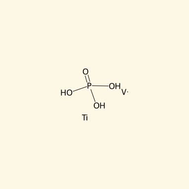 O=P(O)(O)O.[Ti].[V]